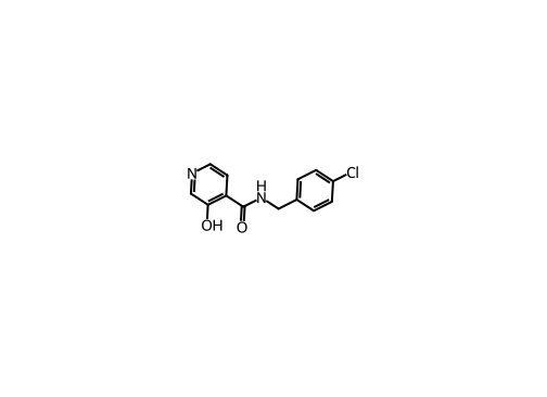 O=C(NCc1ccc(Cl)cc1)c1ccncc1O